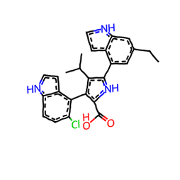 CCc1cc(-c2[nH]c(C(=O)O)c(-c3c(Cl)ccc4[nH]ccc34)c2C(C)C)c2cc[nH]c2c1